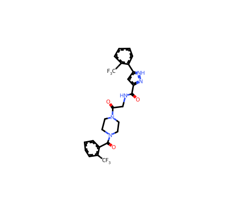 O=C(NCC(=O)N1CCN(C(=O)c2ccccc2C(F)(F)F)CC1)c1cc(-c2ccccc2C(F)(F)F)[nH]n1